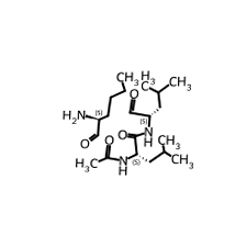 CC(=O)N[C@@H](CC(C)C)C(=O)N[C@H](C=O)CC(C)C.CCCC[C@H](N)C=O